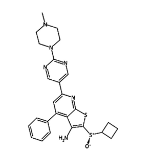 CN1CCN(c2ncc(-c3cc(-c4ccccc4)c4c(N)c([S@+]([O-])C5CCC5)sc4n3)cn2)CC1